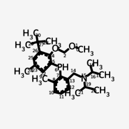 COCOc1c(Pc2c(C)cccc2CN(C(C)C)C(C)C)cc(C)cc1C(C)(C)C